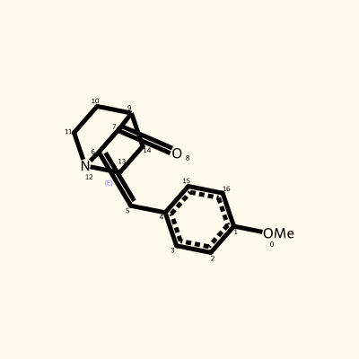 COc1ccc(/C=C2\C(=O)C3CCN2CC3)cc1